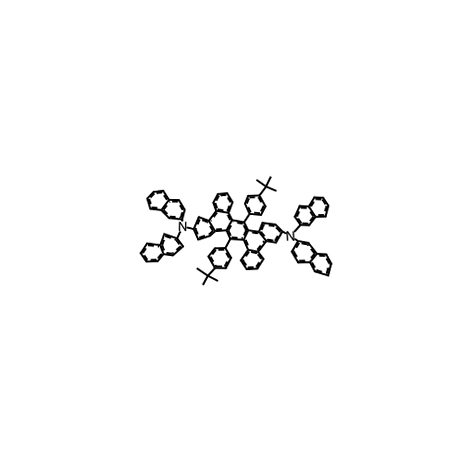 CC(C)(C)c1ccc(-c2c3c4ccccc4c4cc(N(c5ccc6ccccc6c5)c5ccc6ccccc6c5)ccc4c3c(-c3ccc(C(C)(C)C)cc3)c3c4ccccc4c4cc(N(c5ccc6ccccc6c5)c5ccc6ccccc6c5)ccc4c23)cc1